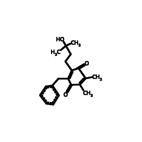 CC1=C(C)C(=O)C(Cc2ccccc2)=C(CCC(C)(C)O)C1=O